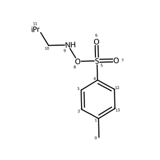 Cc1ccc(S(=O)(=O)ONCC(C)C)cc1